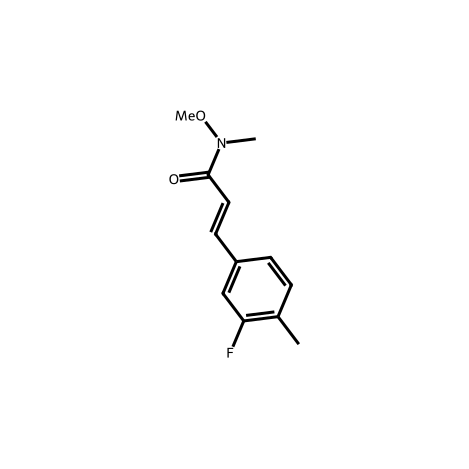 CON(C)C(=O)C=Cc1ccc(C)c(F)c1